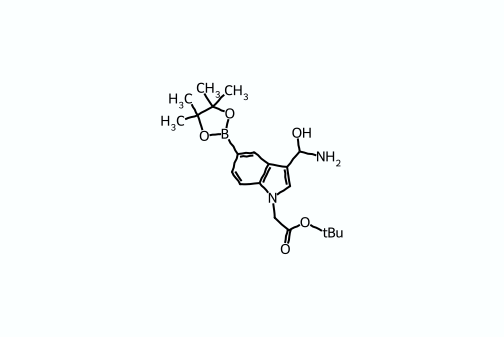 CC(C)(C)OC(=O)Cn1cc(C(N)O)c2cc(B3OC(C)(C)C(C)(C)O3)ccc21